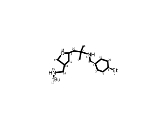 CC[C@H]1CC[C@@H](CNC(C)(C)CC2CC(CNC(C)(C)C)CO2)CC1